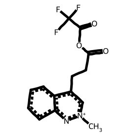 C[n+]1cc(CCC(=O)OC(=O)C(F)(F)F)c2ccccc2n1